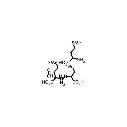 CC(C)CC(N)C(=O)O.CO.CSCCC(N)C(=O)O.CSCCC(N)C(=O)O